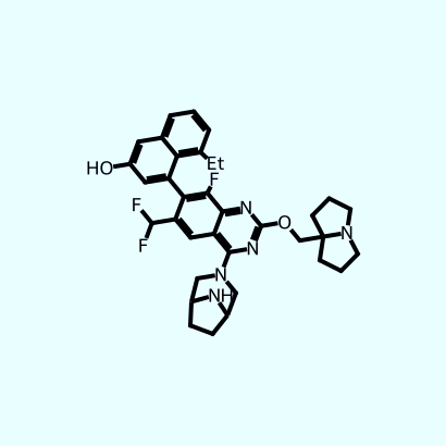 CCc1cccc2cc(O)cc(-c3c(C(F)F)cc4c(N5CC6CCC(C5)N6)nc(OCC56CCCN5CCC6)nc4c3F)c12